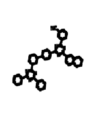 N#Cc1cccc(-c2nc(-c3ccc(-c4cccc(-c5nc(-c6ccccc6)nc(-c6ccccc6)n5)c4)cc3)nc(-c3ccc4ccccc4c3)n2)c1